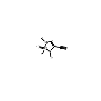 C#CC1=CN(C)P(C)(=O)N1C